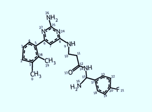 Cc1cccc(-c2cc(NCCC(=O)NC(N)c3ccc(F)cc3)nc(N)n2)c1C